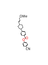 COC/C=C/C1CCC(c2ccc(C(=O)Oc3ccc(C#N)cc3)cc2)CC1